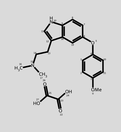 COc1ccc(Oc2ccc3[nH]cc(CCN(C)C)c3c2)cc1.O=C(O)C(=O)O